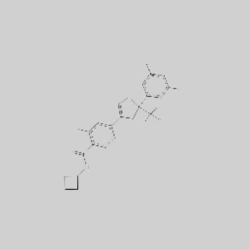 Cc1cc(C2=CSC(c3cc(Cl)cc(Cl)c3)(C(F)(F)F)C2)ccc1C(=O)NC1CCC1